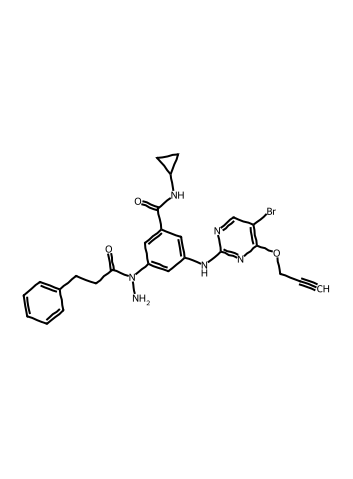 C#CCOc1nc(Nc2cc(C(=O)NC3CC3)cc(N(N)C(=O)CCc3ccccc3)c2)ncc1Br